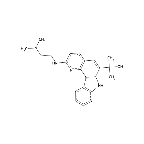 CN(C)CCNc1ccc2c(n1)N1c3ccccc3NC1C(C(C)(C)O)=C2